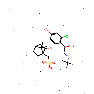 CC(C)(C)NCC(O)c1ccc(O)cc1Cl.CC1(C)C2CCC1(CS(=O)(=O)O)C(=O)C2